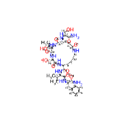 CC(C)[C@H](NC(=O)C1CCCCNC(=O)CCC(N[C@@H](CO)C(N)=O)C(=O)N[C@@H]([C@@H](C)O)C(=O)N[C@@H](CO)C(=O)N1)C(=O)N[C@@H](Cc1ccccc1)C(N)=O